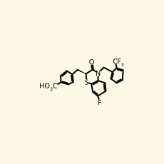 O=C(O)c1ccc(C[C@@H]2Sc3cc(F)ccc3N(Cc3ccccc3C(F)(F)F)C2=O)cc1